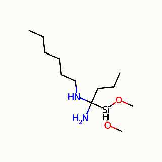 CCCCCCNC(N)(CCC)[SiH](OC)OC